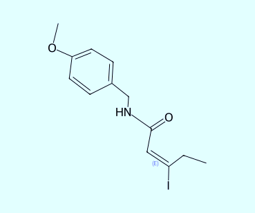 CC/C(I)=C\C(=O)NCc1ccc(OC)cc1